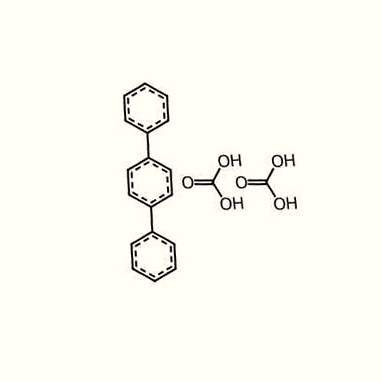 O=C(O)O.O=C(O)O.c1ccc(-c2ccc(-c3ccccc3)cc2)cc1